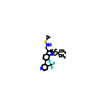 CC(C)(C)Cn1cc(CNSC2CC2)c2ccc(-c3cnccc3C(F)(F)F)cc21